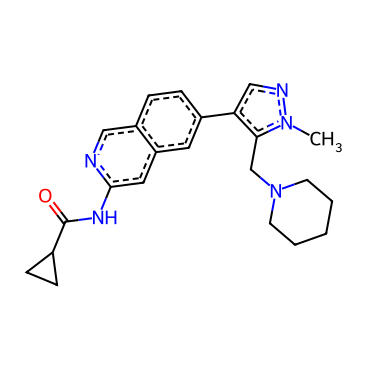 Cn1ncc(-c2ccc3cnc(NC(=O)C4CC4)cc3c2)c1CN1CCCCC1